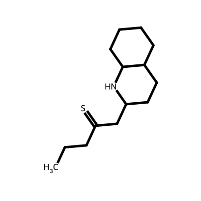 CCCC(=S)CC1CCC2CCCCC2N1